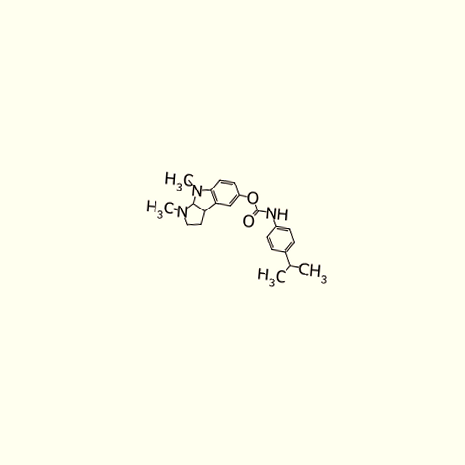 CC(C)c1ccc(NC(=O)Oc2ccc3c(c2)C2CCN(C)C2N3C)cc1